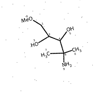 COCC(O)C(O)C(C)(C)N